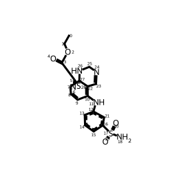 CCOC(=O)C1N=C2C=CC(Nc3cccc(S(N)(=O)=O)c3)=C3C=NCNC23S1